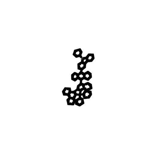 c1ccc(-n2c3ccccc3c3cc(-c4c5ccccc5c(-c5cc6c(c7ccccc57)C(c5ccccc5)(c5ccccc5)c5c-6c6ccccc6c6ccccc56)c5ccccc45)ccc32)cc1